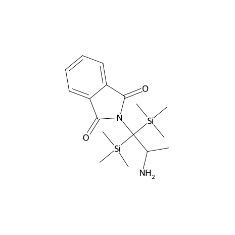 CC(N)C(N1C(=O)c2ccccc2C1=O)([Si](C)(C)C)[Si](C)(C)C